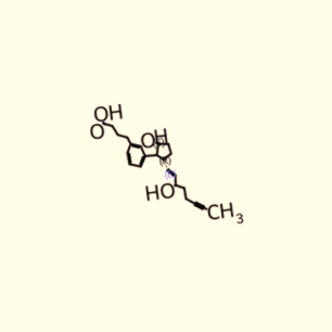 CC#CCCC(O)/C=C/[C@H]1CC[C@@H]2Oc3c(CCCC(=O)O)cccc3C21